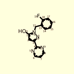 Oc1cc(-c2ncccn2)nn1Cc1ccccc1F